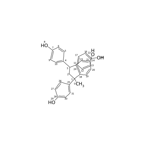 CC(CC(c1ccc(O)cc1)c1ccc(O)cc1)(c1ccc(O)cc1)c1ccc(O)cc1